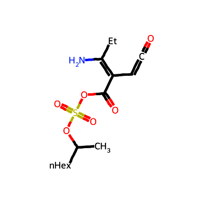 CCCCCCC(C)OS(=O)(=O)OC(=O)C(C=C=O)=C(N)CC